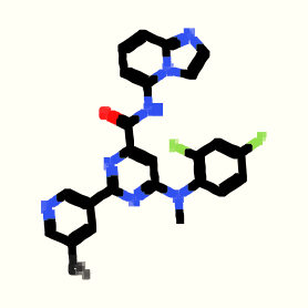 CN(c1cc(C(=O)Nc2cccc3nccn23)nc(-c2cncc(C(F)(F)F)c2)n1)c1ccc(F)cc1F